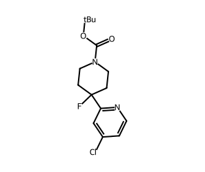 CC(C)(C)OC(=O)N1CCC(F)(c2cc(Cl)ccn2)CC1